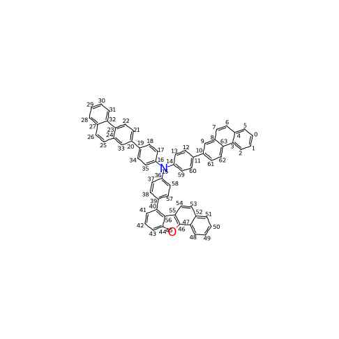 c1ccc2c(c1)ccc1cc(-c3ccc(N(c4ccc(-c5ccc6c(ccc7ccccc76)c5)cc4)c4ccc(-c5cccc6oc7c8ccccc8ccc7c56)cc4)cc3)ccc12